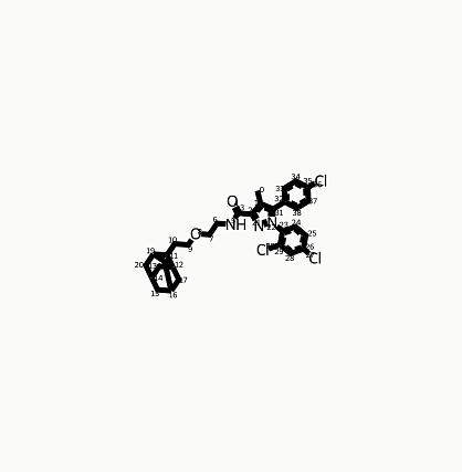 Cc1c(C(=O)NCCOCCC2C3CC4CC(C3)CC2C4)nn(-c2ccc(Cl)cc2Cl)c1-c1ccc(Cl)cc1